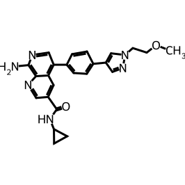 COCCn1cc(-c2ccc(-c3cnc(N)c4ncc(C(=O)NC5CC5)cc34)cc2)cn1